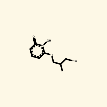 CC(COc1cccc(=O)n1O)CC(C)(C)C